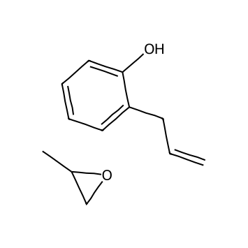 C=CCc1ccccc1O.CC1CO1